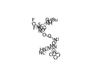 CN(CCOCCOCCCN1CCC[C@H]1COc1nc2c(c(N3CCN[C@@H](CC#N)C3)n1)CCN(c1cccc3cccc(Cl)c13)C2)C(=O)N1N=C(c2cc(F)ccc2F)SC1(CCCNC(=O)OC(C)(C)C)c1ccccc1